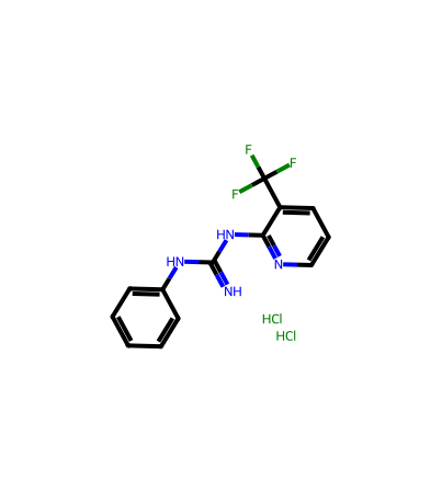 Cl.Cl.N=C(Nc1ccccc1)Nc1ncccc1C(F)(F)F